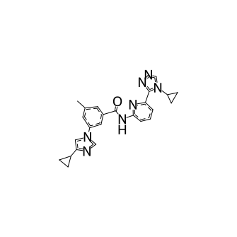 Cc1cc(C(=O)Nc2cccc(-c3nncn3C3CC3)n2)cc(-n2cnc(C3CC3)c2)c1